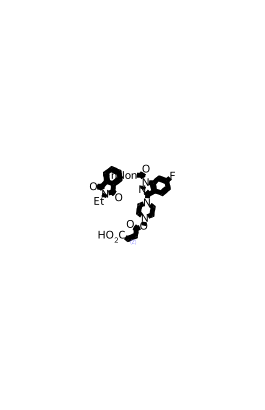 CCCCCCCCCC(=O)n1nc(N2CCN(OC(=O)/C=C\C(=O)O)CC2)c2ccc(F)cc21.CCN1C(=O)c2ccccc2C1=O